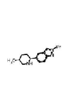 CC(C)n1cc2cc(C3CC[C@H](C)CN3)ccc2n1